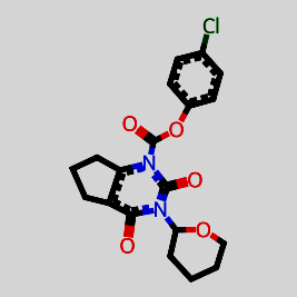 O=C(Oc1ccc(Cl)cc1)n1c2c(c(=O)n(C3CCCCO3)c1=O)CCC2